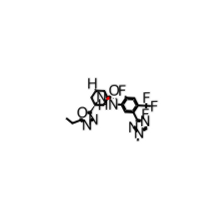 CCc1nnc([C@@]23C[C@@H](C)C[C@@H](C2)N3C(=O)Nc2cc(-c3ncn(C)n3)c(C(F)(F)F)cc2F)o1